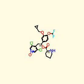 O=C(O[C@@H](Cc1c(Cl)c[n+]([O-])cc1Cl)c1ccc(OC(F)F)c(OCC2CC2)c1)[C@@H]1CCCCN1